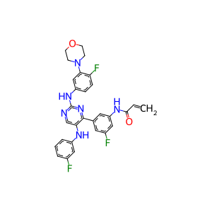 C=CC(=O)Nc1cc(F)cc(-c2nc(Nc3ccc(F)c(N4CCOCC4)c3)ncc2Nc2cccc(F)c2)c1